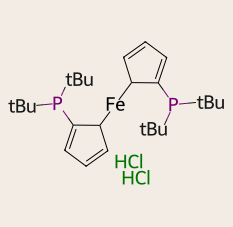 CC(C)(C)P(C1=CC=C[CH]1[Fe][CH]1C=CC=C1P(C(C)(C)C)C(C)(C)C)C(C)(C)C.Cl.Cl